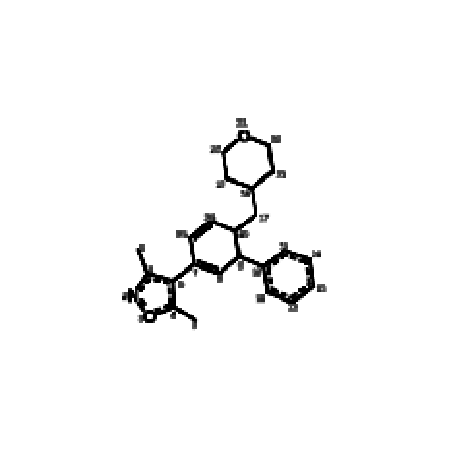 Cc1noc(C)c1C1=CC(c2ccccc2)C(CC2CCOCC2)C=C1